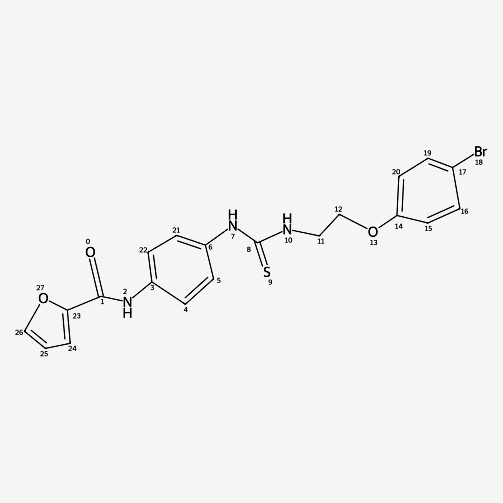 O=C(Nc1ccc(NC(=S)NCCOc2ccc(Br)cc2)cc1)c1ccco1